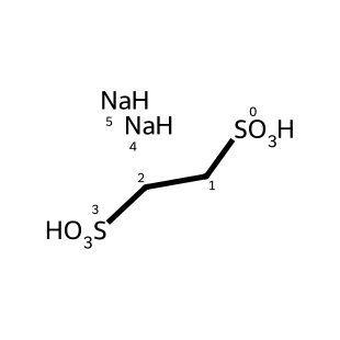 O=S(=O)(O)CCS(=O)(=O)O.[NaH].[NaH]